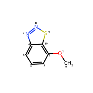 COc1c[c]cc2nnsc12